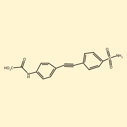 NS(=O)(=O)c1ccc(C#Cc2ccc(NC(=O)C(=O)O)cc2)cc1